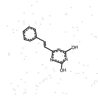 Oc1nc(O)nc(/C=C/c2ccccc2)n1